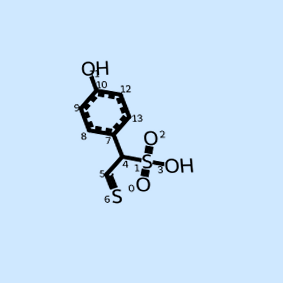 O=S(=O)(O)C([C]=S)c1ccc(O)cc1